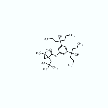 CCCC(O)(CCC)c1cc(OC(=O)C2(CC(C)(C)C)CC2(C)C)cc(C(O)(CCC)CCC)c1